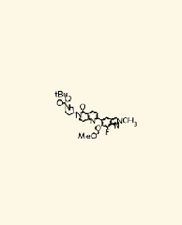 COCOc1c(-c2ccc3c(=O)n([C@@H]4CCN(C(=O)OC(C)(C)C)C4)ccc3n2)cc2cn(C)nc2c1F